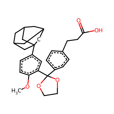 COc1ccc(C23CC4CC(CC(C4)C2)C3)cc1C1(c2ccc(CCC(=O)O)cc2)OCCO1